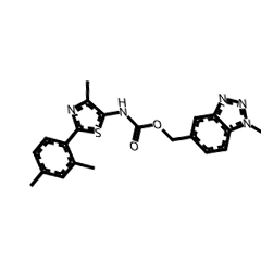 Cc1ccc(-c2nc(C)c(NC(=O)OCc3ccc4c(c3)nnn4C)s2)c(C)c1